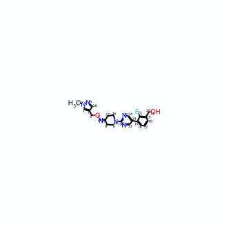 Cn1cc(CON=C2CCN(c3ncc(-c4cccc(CO)c4F)cn3)CC2)cn1